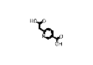 O=C(O)Cc1ccc(C(=O)O)cn1